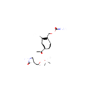 C[C@@H](O[Si](C)(C)C(C)(C)C)[C@H]1C(=O)N[C@@H]1CC(=O)c1ccc(COC(N)=O)c(C(C)(C)C)c1